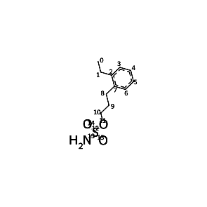 CCc1ccccc1CCCOS(N)(=O)=O